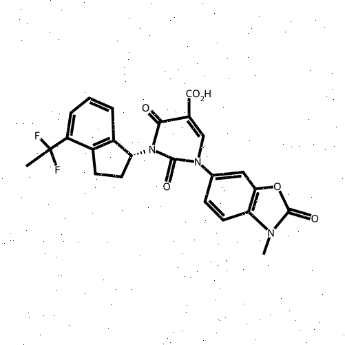 Cn1c(=O)oc2cc(-n3cc(C(=O)O)c(=O)n([C@@H]4CCc5c4cccc5C(C)(F)F)c3=O)ccc21